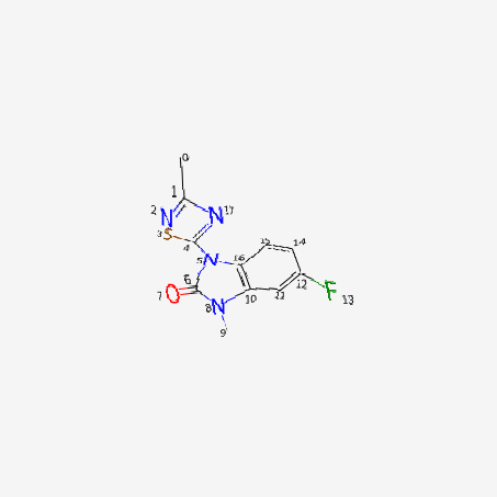 Cc1nsc(-n2c(=O)n(C)c3cc(F)ccc32)n1